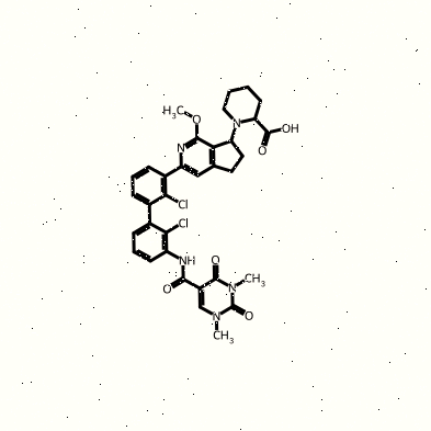 COc1nc(-c2cccc(-c3cccc(NC(=O)c4cn(C)c(=O)n(C)c4=O)c3Cl)c2Cl)cc2c1C(N1CCCCC1C(=O)O)CC2